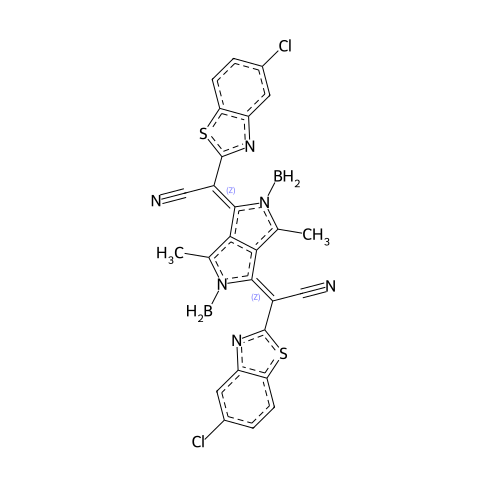 Bn1c(C)c2/c(=C(\C#N)c3nc4cc(Cl)ccc4s3)n(B)c(C)c2/c1=C(\C#N)c1nc2cc(Cl)ccc2s1